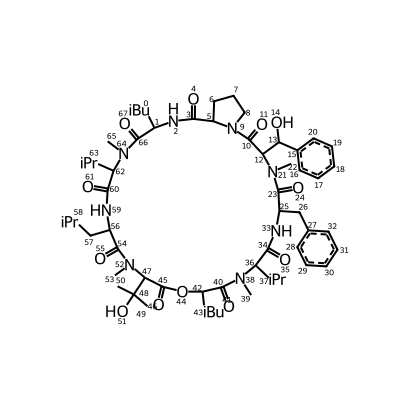 CCC(C)C1NC(=O)C2CCCN2C(=O)C(C(O)c2ccccc2)N(C)C(=O)C(Cc2ccccc2)NC(=O)C(C(C)C)N(C)C(=O)C(C(C)CC)OC(=O)C(C(C)(C)O)N(C)C(=O)C(CC(C)C)NC(=O)C(C(C)C)N(C)C1=O